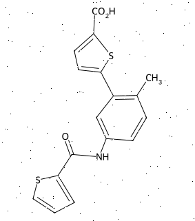 Cc1ccc(NC(=O)c2cccs2)cc1-c1ccc(C(=O)O)s1